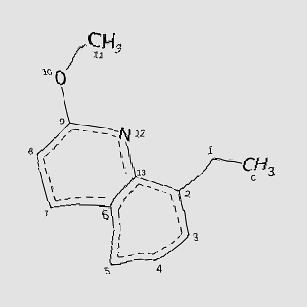 CCc1cccc2ccc(OC)nc12